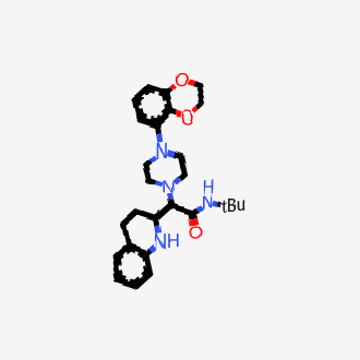 CC(C)(C)NC(=O)C(C1CCc2ccccc2N1)N1CCN(c2cccc3c2OCCO3)CC1